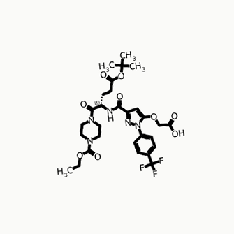 CCOC(=O)N1CCN(C(=O)[C@H](CCC(=O)OC(C)(C)C)NC(=O)c2cc(OCC(=O)O)n(-c3ccc(C(F)(F)F)cc3)n2)CC1